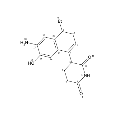 CCC1CC=C(C2CCC(=O)NC2=O)c2cc(O)c(N)cc21